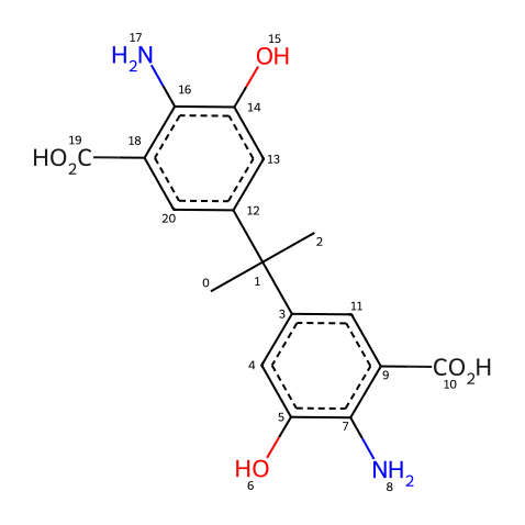 CC(C)(c1cc(O)c(N)c(C(=O)O)c1)c1cc(O)c(N)c(C(=O)O)c1